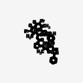 CC[C@H](C)[C@@H]([C@@H](CC(=O)N1CCC[C@H]1[C@H](OC)[C@@H](C)C(=O)N[C@H](Cc1ccccc1)c1nnc(-c2ccccc2)o1)OC)N(C)[C@H](C(=O)NC(=O)[C@H](C(C)C)N(C)CCCC(=O)O)C(C)C